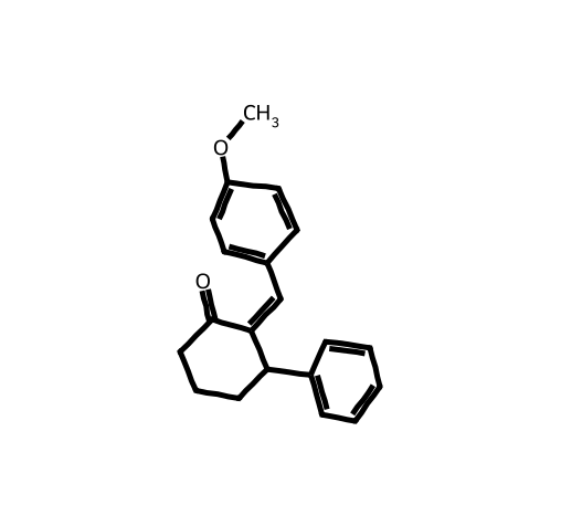 COc1ccc(C=C2C(=O)CCCC2c2ccccc2)cc1